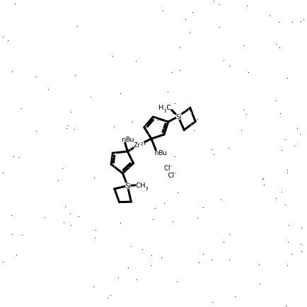 CCCC[C]1([Zr+2][C]2(CCCC)C=CC([Si]3(C)CCC3)=C2)C=CC([Si]2(C)CCC2)=C1.[Cl-].[Cl-]